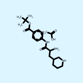 CC(=O)O.CC(C)(C)OC(=O)c1ccc(NC(=O)C(N)CC2CCCNC2)cc1